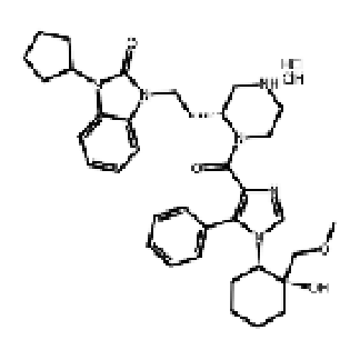 COC[C@]1(O)CCCC[C@H]1n1cnc(C(=O)N2CCNC[C@H]2CCn2c(=O)n(C3CCCC3)c3ccccc32)c1-c1ccccc1.Cl.Cl